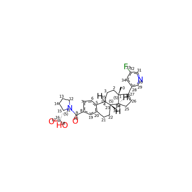 C[C@]12CC[C@@H]3c4ccc(C(=O)N5CCC[C@H]5C(=O)O)cc4CC[C@H]3[C@@H]1CC=C2c1cncc(F)c1